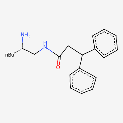 CCCC[C@H](N)CNC(=O)CC(c1ccccc1)c1ccccc1